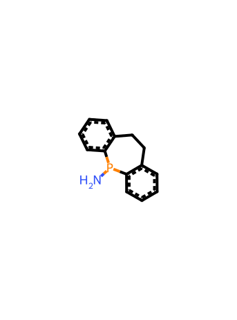 NP1c2ccccc2CCc2ccccc21